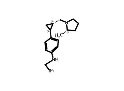 CC(C)CNc1ccc([C@H]2C[C@@H]2CN2CCC[C@@H]2C)cc1